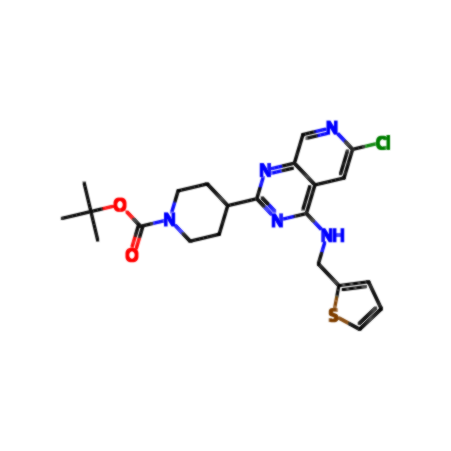 CC(C)(C)OC(=O)N1CCC(c2nc(NCc3cccs3)c3cc(Cl)ncc3n2)CC1